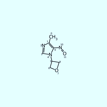 Cc1ncn(C2COC2)c1N=O